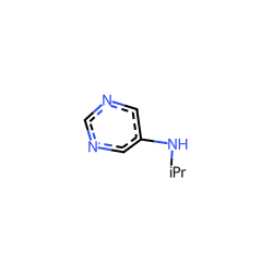 CC(C)Nc1cncnc1